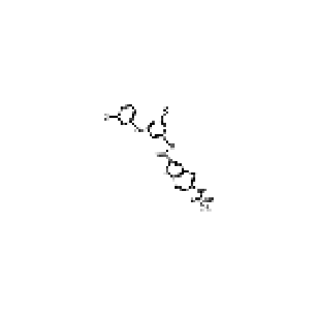 CS(=O)(=O)Nc1ccc2sc(C(=O)Nc3cc(Cl)cc(Oc4cccc(Cl)c4)c3)cc2c1